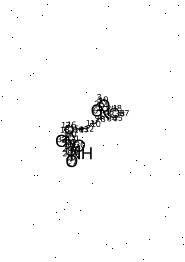 CC(C)(C)OC(=O)N(CCCCCC#Cc1cccc2c1CN(C1CCC(=O)NC1=O)C2=O)[C@H]1CC[C@H](C)CC1